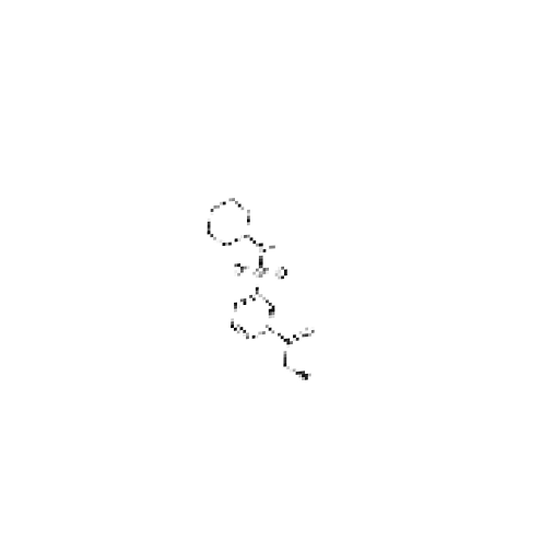 O=C(CBr)c1cccc(S(=O)(=O)NC2CCCCC2)c1